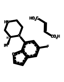 CC(C)[C@H]1CNCCN1c1cc(F)cc2ccoc12.O=C(O)C=CC(=O)O